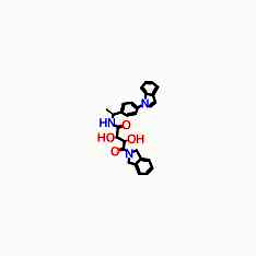 C[C@H](NC(=O)[C@H](O)[C@@H](O)C(=O)N1Cc2ccccc2C1)c1ccc(-n2ccc3ccccc32)cc1